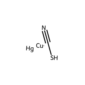 N#CS.[Cu].[Hg]